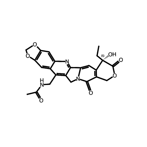 CC[C@@]1(O)C(=O)OCc2c1cc1n(c2=O)Cc2c-1nc1cc3c(cc1c2CNC(C)=O)OCO3